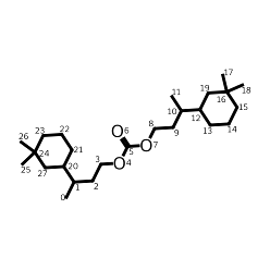 CC(CCOC(=O)OCCC(C)C1CCCC(C)(C)C1)C1CCCC(C)(C)C1